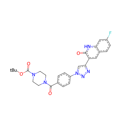 CC(C)(C)OC(=O)N1CCN(C(=O)c2ccc(-n3cc(-c4cc5ccc(F)cc5[nH]c4=O)nn3)cc2)CC1